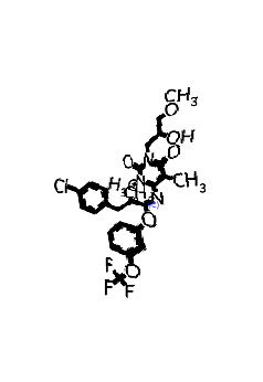 COCC(O)Cn1c(=O)c(C)c(/N=C(/Oc2cccc(OC(F)(F)F)c2)[C@@H](C)Cc2ccc(Cl)cc2)n(C)c1=O